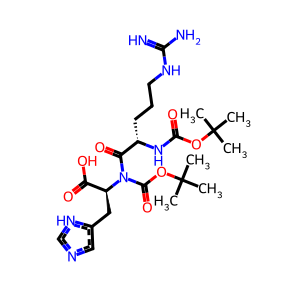 CC(C)(C)OC(=O)N[C@@H](CCCNC(=N)N)C(=O)N(C(=O)OC(C)(C)C)[C@@H](Cc1cnc[nH]1)C(=O)O